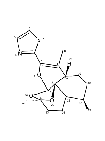 CC1=C(c2nccs2)OC2O[C@]3(C)CCC4[C@H](C)CC[C@@H]1[C@@]24O3